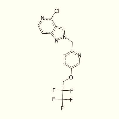 FC(F)(F)C(F)(F)COc1ccc(Cn2cc3c(Cl)nccc3n2)nc1